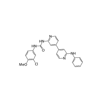 COc1ccc(NC(=O)Nc2cc(-c3ccnc(Nc4ccccc4)c3)ccn2)cc1Cl